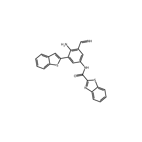 N=Cc1cc(NC(=O)c2nc3ccccc3s2)cc(-c2cc3ccccc3s2)c1N